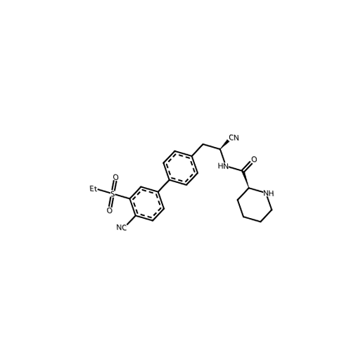 CCS(=O)(=O)c1cc(-c2ccc(C[C@@H](C#N)NC(=O)[C@@H]3CCCCN3)cc2)ccc1C#N